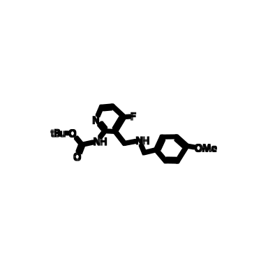 COc1ccc(CNCc2c(F)ccnc2NC(=O)OC(C)(C)C)cc1